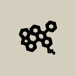 Cc1ccc2c(-c3ccccc3)c3ccccc3c(-c3cccc4sc5ccccc5c34)c2c1